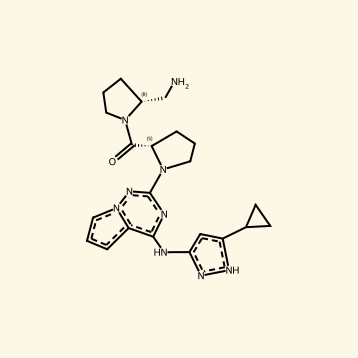 NC[C@H]1CCCN1C(=O)[C@@H]1CCCN1c1nc(Nc2cc(C3CC3)[nH]n2)c2cccn2n1